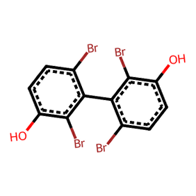 Oc1ccc(Br)c(-c2c(Br)ccc(O)c2Br)c1Br